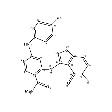 CNC(=O)c1cnc(Nc2ccc(F)cn2)cc1Nc1csc2c1C(=O)C(C)C=C2